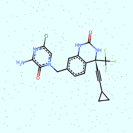 Nc1nc(Cl)cn(Cc2ccc3c(c2)NC(=O)N[C@]3(C#CC2CC2)C(F)(F)F)c1=O